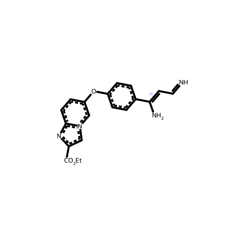 CCOC(=O)c1cn2cc(Oc3ccc(/C(N)=C/C=N)cc3)ccc2n1